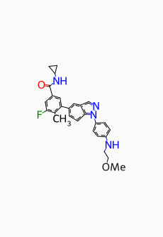 COCCNc1ccc(-n2ncc3cc(-c4cc(C(=O)NC5CC5)cc(F)c4C)ccc32)cc1